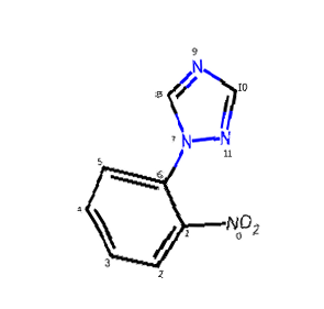 O=[N+]([O-])c1ccccc1-n1cncn1